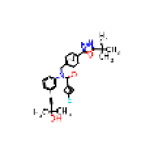 CC(C)(O)C#Cc1cccc(N(CC23CCC(c4nnc(C(C)(C)C)o4)(CC2)CC3)C(=O)C23CC(F)(C2)C3)c1